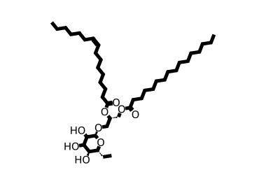 CCCCCC/C=C\CCCCCCCC(=O)O[C@H](COC(=O)CCCCCCCCCCCCCCC)CO[C@H]1O[C@H](CC)[C@@H](O)C(O)C1O